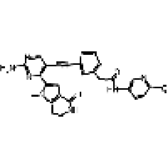 COc1ccc(NC(=O)Cc2cccc(C#Cc3cnc(N)nc3-c3cc4c(n3C)CCNC4=O)c2)cn1